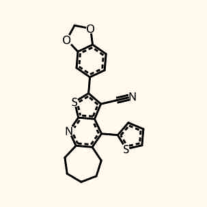 N#Cc1c(-c2ccc3c(c2)OCO3)sc2nc3c(c(-c4cccs4)c12)CCCCC3